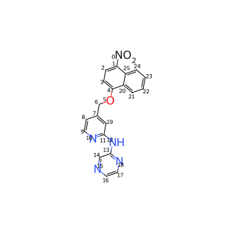 O=[N+]([O-])c1ccc(OCc2ccnc(Nc3cnccn3)c2)c2ccccc12